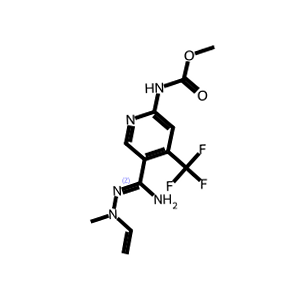 C=CN(C)/N=C(\N)c1cnc(NC(=O)OC)cc1C(F)(F)F